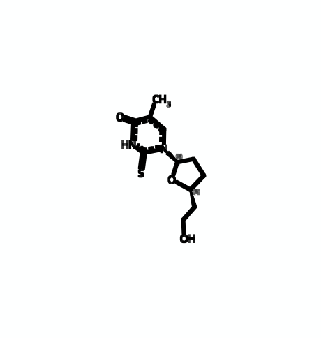 Cc1cn([C@H]2CC[C@@H](CCO)O2)c(=S)[nH]c1=O